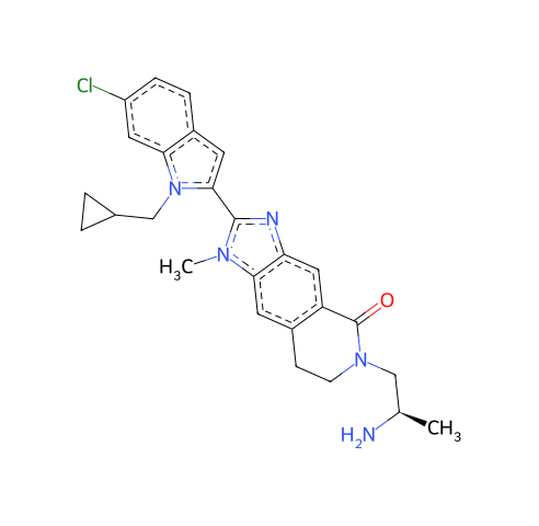 C[C@@H](N)CN1CCc2cc3c(cc2C1=O)nc(-c1cc2ccc(Cl)cc2n1CC1CC1)n3C